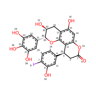 O=C1C[C@@H](c2ccc(I)c(O)c2)c2c(cc(O)c3c2O[C@H](c2cc(O)c(O)c(O)c2)[C@@H](O)C3)O1